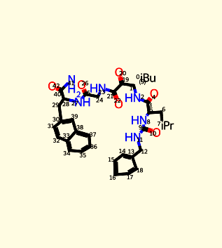 CC[C@H](C)C(NC(=O)C(CC(C)C)NC(=O)NCc1ccccc1)C(=O)C(=O)NCC(=O)NC(Cc1ccc2ccccc2c1)C(N)=O